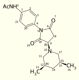 CC(=O)Nc1ccc(N2C(=O)C[C@@H](N3C[C@H](C)C[C@H](C)C3)C2=O)cc1